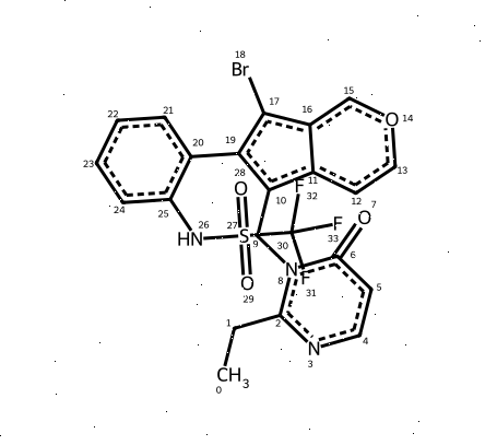 CCc1nccc(=O)n1Cc1c2ccocc-2c(Br)c1-c1ccccc1NS(=O)(=O)C(F)(F)F